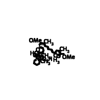 COCC(=O)[C@H](C)C[C@H](C)C=CC=CC=C(C)[C@H](C[C@@H]1CC[C@@H](C)[C@](O)(C(=O)C(=O)N2CCCCC2(C)C(=O)O)O1)OC